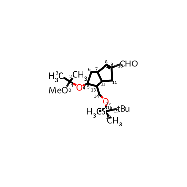 COC(C)(C)OC1CC2C=C(C=O)CC2C1CO[Si](C)(C)C(C)(C)C